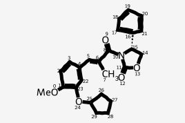 COc1ccc(/C=C(\C)C(=O)N2C(=O)OC[C@H]2c2ccccc2)cc1OC1CCCC1